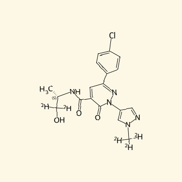 [2H]C([2H])(O)[C@H](C)NC(=O)c1cc(-c2ccc(Cl)cc2)nn(-c2cnn(C([2H])([2H])[2H])c2)c1=O